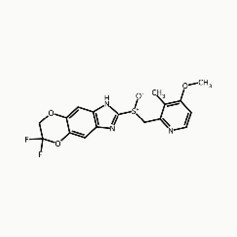 COc1ccnc(C[S+]([O-])c2nc3cc4c(cc3[nH]2)OCC(F)(F)O4)c1C